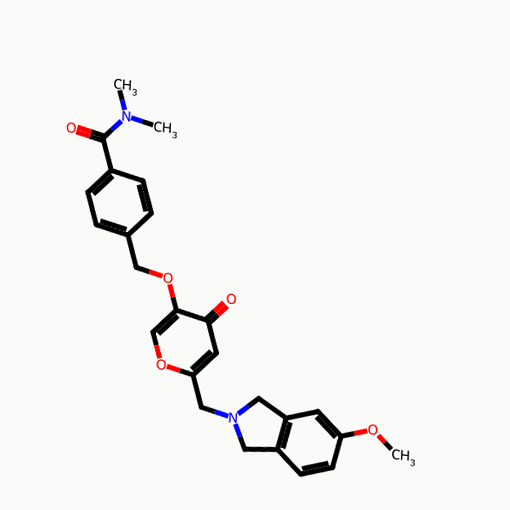 COc1ccc2c(c1)CN(Cc1cc(=O)c(OCc3ccc(C(=O)N(C)C)cc3)co1)C2